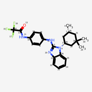 C[C@H]1C[C@@H](n2c(Nc3ccc(NC(=O)C(F)(F)F)cc3)nc3ccccc32)CC(C)(C)C1